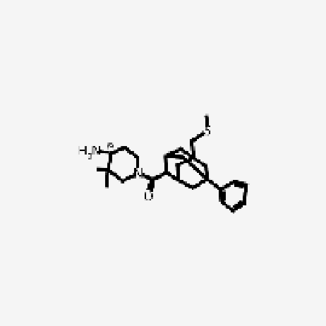 CSCC12CC3CC(c4ccccc4)(CC(C1)C3C(=O)N1CC[C@H](N)C(C)(C)C1)C2